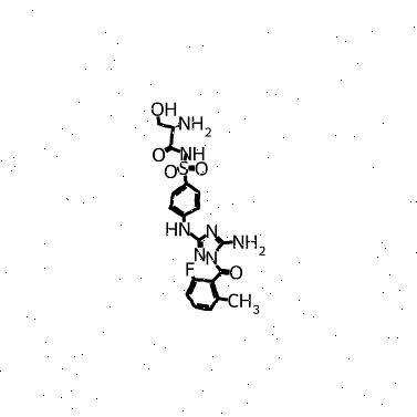 Cc1cccc(F)c1C(=O)n1nc(Nc2ccc(S(=O)(=O)NC(=O)[C@@H](N)CO)cc2)nc1N